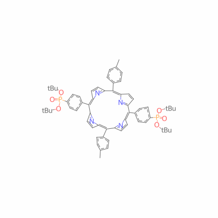 Cc1ccc(C2=C3C=CC(=N3)C(c3ccc(P(=O)(OC(C)(C)C)OC(C)(C)C)cc3)=C3C=CC(=N3)C(c3ccc(C)cc3)=C3C=CC(=N3)C(c3ccc(P(=O)(OC(C)(C)C)OC(C)(C)C)cc3)=C3C=CC2=N3)cc1